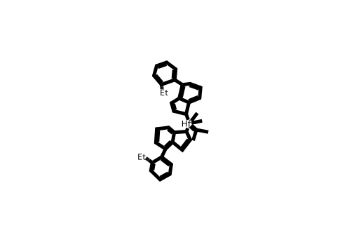 CCc1ccccc1-c1cccc2c1C=C[CH]2[Hf]([CH3])([CH3])(=[C](C)C)[CH]1C=Cc2c(-c3ccccc3CC)cccc21